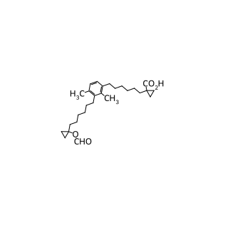 Cc1ccc(CCCCCCC2(C(=O)O)CC2)c(C)c1CCCCCCC1(OC=O)CC1